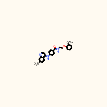 COc1ccccc1OCCNC(=O)c1ccc(Nc2ccnc3cc([N+](=O)[O-])ccc23)cc1